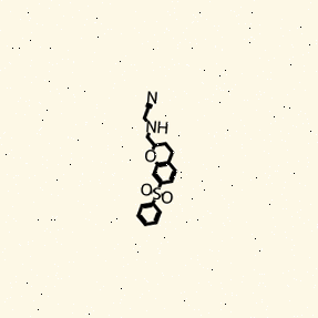 N#CCNCC1CCc2ccc(S(=O)(=O)c3ccccc3)cc2O1